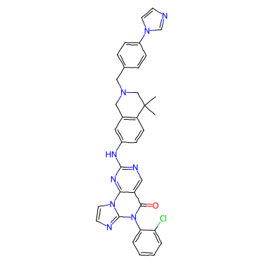 CC1(C)CN(Cc2ccc(-n3ccnc3)cc2)Cc2cc(Nc3ncc4c(=O)n(-c5ccccc5Cl)c5nccn5c4n3)ccc21